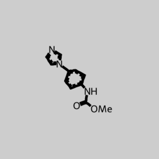 COC(=O)Nc1ccc(-n2ccnc2)cc1